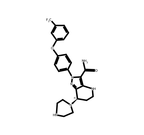 NC(=O)c1c2c(nn1-c1ccc(Oc3cccc(C(F)(F)F)c3)cc1)[C@H](N1CCNCC1)CCN2